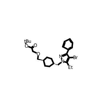 CCc1c(Br)c(-c2ccccc2)nn1C[C@H]1CC[C@H](COCC(=O)OC(C)(C)C)CC1